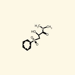 CN(C)C(=O)C(O)CS(=O)(=O)c1ccccc1